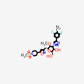 CO[C@@H]1[C@@H](n2cc(-c3cc(F)c(C)c(F)c3)nn2)[C@@H](O)[C@@H](CO)O[C@@H]1Cc1cc(C2CCN(S(C)(=O)=O)CC2)on1